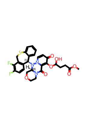 COC(=O)CCC(O)Oc1c2n(ccc1=O)N([C@@H]1c3ccccc3SCc3c1ccc(F)c3F)[C@@H]1COCCN1C2=O